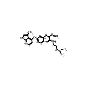 Cc1c[nH]c2nccc(Oc3cccc(CC(CN)C(=O)NCCCN(C)C)c3)c12